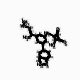 NN/N=C(\N)c1cc(Nc2c(O)c(=O)c2=O)cc(-c2ccc3n[nH]cc3c2)c1